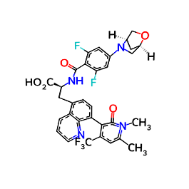 Cc1cc(C(F)(F)F)c(-c2ccc(C[C@H](NC(=O)c3c(F)cc(N4C[C@H]5C[C@@H]4CO5)cc3F)C(=O)O)c3cccnc23)c(=O)n1C